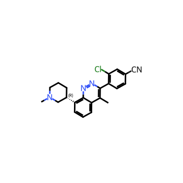 Cc1c(-c2ccc(C#N)cc2Cl)nnc2c([C@H]3CCCN(C)C3)cccc12